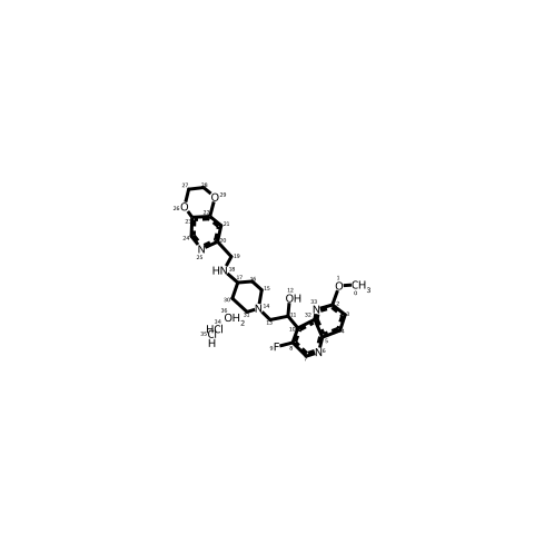 COc1ccc2ncc(F)c(C(O)CN3CCC(NCc4cc5c(cn4)OCCO5)CC3)c2n1.Cl.Cl.O